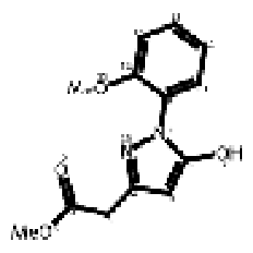 COC(=O)Cc1cc(O)n(-c2ccccc2OC)n1